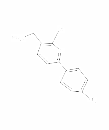 CCc1nc(-c2ccc(C(F)(F)F)cc2)ccc1CC(=O)O